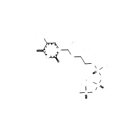 Cc1cn([C@@H](O[C@H](O)COP(=O)(O)OP(=O)(O)OP(=O)(O)O)C(C)C)c(=S)[nH]c1=O